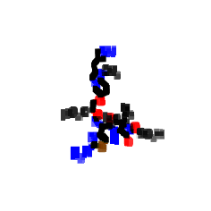 C[n+]1c(CC2CNC2)cn2cc(OC[C@H](O/N=C(\C(=O)N[C@@H]3C(=O)N(OS(=O)(=O)O)C3(C)C)c3csc(N)n3)C(=O)O)ccc21